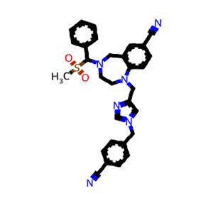 CS(=O)(=O)C(c1ccccc1)N1CCN(Cc2cn(Cc3ccc(C#N)cc3)cn2)c2ccc(C#N)cc2C1